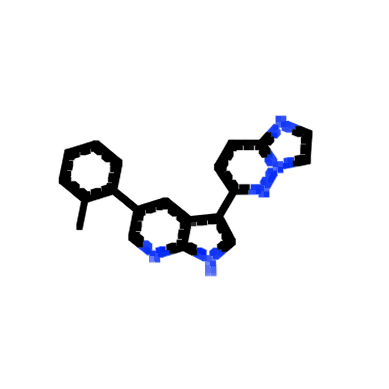 Cc1ccccc1-c1cnc2[nH]cc(-c3ccc4nccn4n3)c2c1